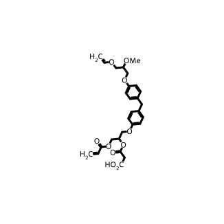 C=COCC(COc1ccc(Cc2ccc(OCC(COC(=O)C=C)OC(=O)CC(=O)O)cc2)cc1)OC